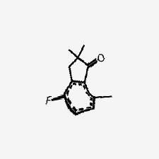 Cc1ccc(F)c2c1C(=O)C(C)(C)C2